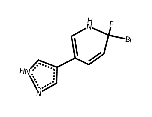 FC1(Br)C=CC(c2cn[nH]c2)=CN1